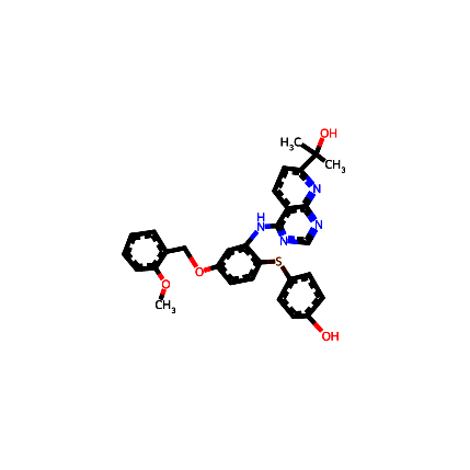 COc1ccccc1COc1ccc(Sc2ccc(O)cc2)c(Nc2ncnc3nc(C(C)(C)O)ccc23)c1